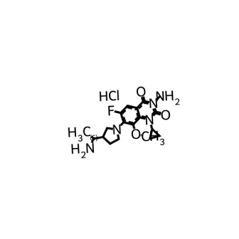 COc1c(N2CCC([C@H](C)N)C2)c(F)cc2c(=O)n(N)c(=O)n(C3CC3)c12.Cl